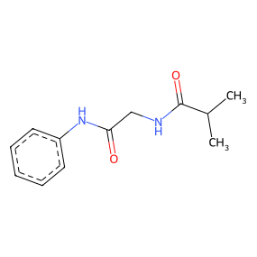 CC(C)C(=O)NCC(=O)Nc1ccccc1